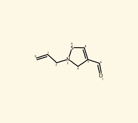 C=CCN1CC(C=O)=CS1